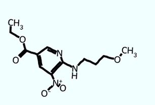 CCOC(=O)c1cnc(NCCCOC)c([N+](=O)[O-])c1